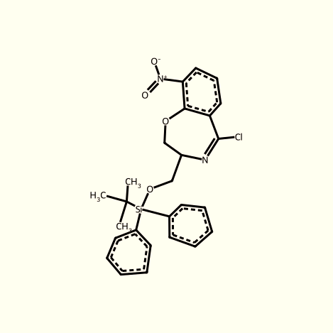 CC(C)(C)[Si](OCC1COc2c(cccc2[N+](=O)[O-])C(Cl)=N1)(c1ccccc1)c1ccccc1